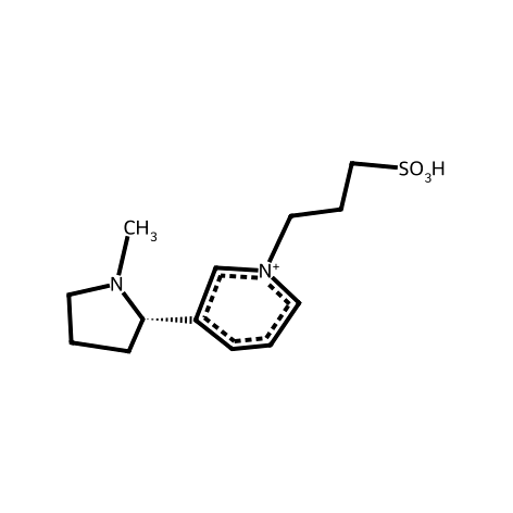 CN1CCC[C@H]1c1ccc[n+](CCCS(=O)(=O)O)c1